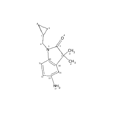 CC1(C)C(=O)N(CC2CC2)c2ccc(N)cc21